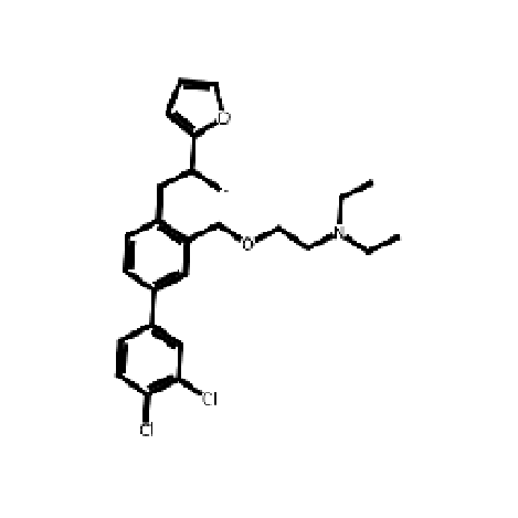 [CH2]C(Cc1ccc(-c2ccc(Cl)c(Cl)c2)cc1COCCN(CC)CC)c1ccco1